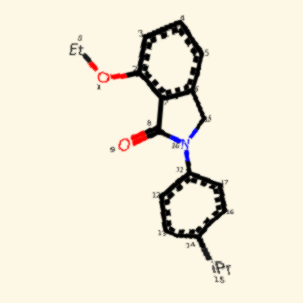 CCOc1cccc2c1C(=O)N(c1ccc(C(C)C)cc1)C2